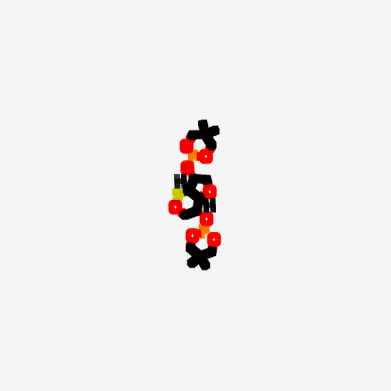 CC1(C)COP(O[C@H]2CO[C@H]3[C@@H]2SOC[C@H]3OP2OCC(C)(C)CO2)OC1